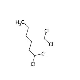 CCCCCC(Cl)Cl.ClCCl